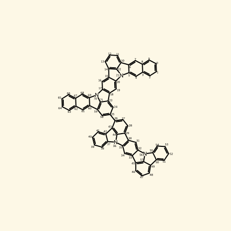 c1ccc2cc3c(cc2c1)c1cccc2c4cc5c(cc4n3c12)c1cc(-c2ccc3c4cc6c(cc4n4c7ccccc7c2c34)c2cccc3c4ccccc4n6c32)cc2c3cc4ccccc4cc3n5c21